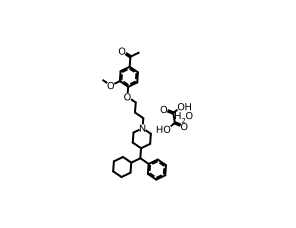 COc1cc(C(C)=O)ccc1OCCCN1CCC(C(c2ccccc2)C2CCCCC2)CC1.O.O=C(O)C(=O)O